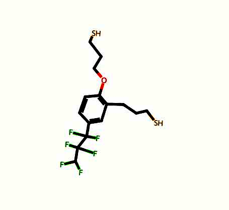 FC(F)C(F)(F)C(F)(F)c1ccc(OCCCS)c(CCCS)c1